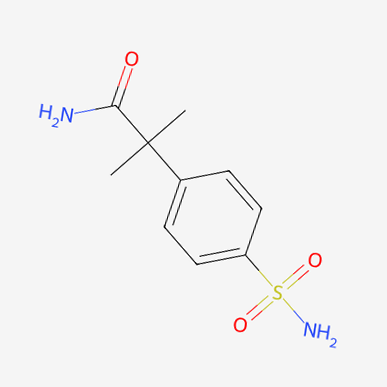 CC(C)(C(N)=O)c1ccc(S(N)(=O)=O)cc1